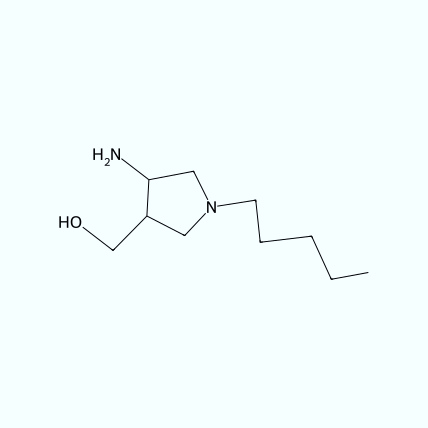 CCCCCN1CC(N)C(CO)C1